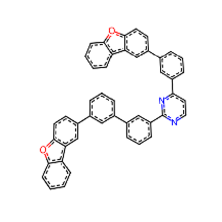 c1cc(-c2cccc(-c3nccc(-c4cccc(-c5ccc6oc7ccccc7c6c5)c4)n3)c2)cc(-c2ccc3oc4ccccc4c3c2)c1